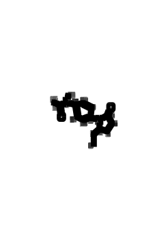 CCC1CCC(=O)N1c1ccc(N(C)C(C)=O)cc1